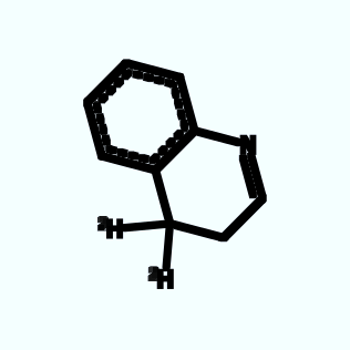 [2H]C1([2H])CC=Nc2ccccc21